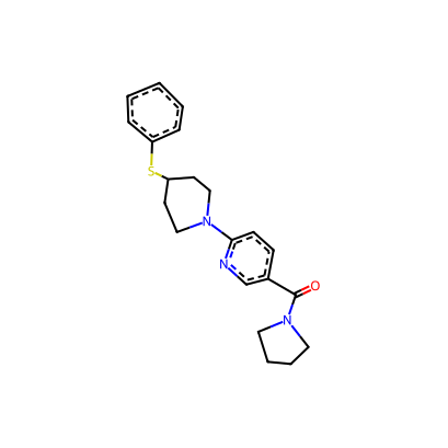 O=C(c1ccc(N2CCC(Sc3ccccc3)CC2)nc1)N1CCCC1